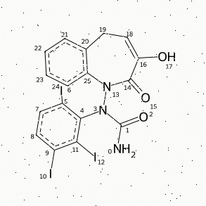 NC(=O)N(c1c(I)ccc(I)c1I)N1C(=O)C(O)=CCc2ccccc21